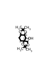 CC1(C)OC2CCC3(COC(C)(C)O3)[C@@H](O)C2O1